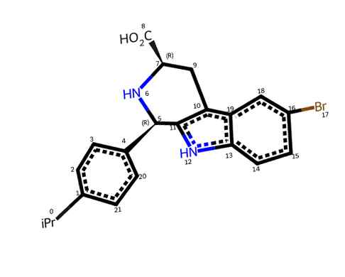 CC(C)c1ccc([C@H]2N[C@@H](C(=O)O)Cc3c2[nH]c2ccc(Br)cc32)cc1